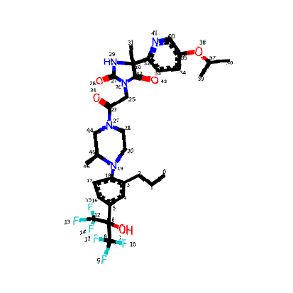 CCCc1cc(C(O)(C(F)(F)F)C(F)(F)F)ccc1N1CCN(C(=O)CN2C(=O)NC(C)(c3ccc(OC(C)C)cn3)C2=O)CC1C